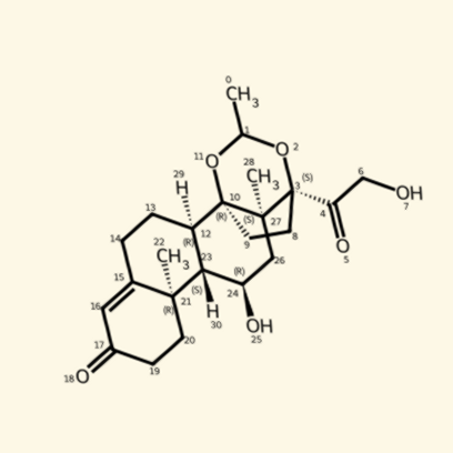 CC1O[C@@]2(C(=O)CO)CC[C@@]3(O1)[C@@H]1CCC4=CC(=O)CC[C@]4(C)[C@H]1[C@H](O)C[C@]23C